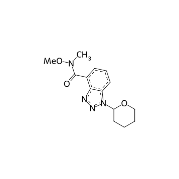 CON(C)C(=O)c1cccc2c1nnn2C1CCCCO1